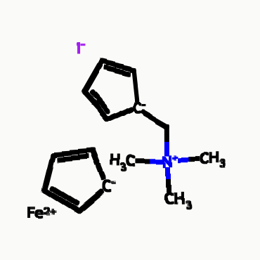 C[N+](C)(C)C[c-]1cccc1.[Fe+2].[I-].c1cc[cH-]c1